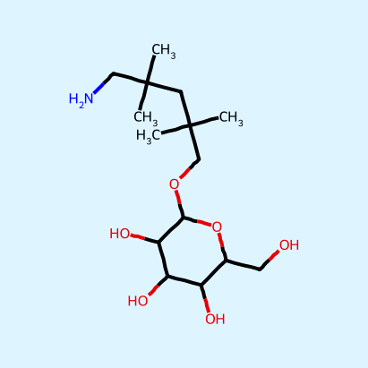 CC(C)(CN)CC(C)(C)COC1OC(CO)C(O)C(O)C1O